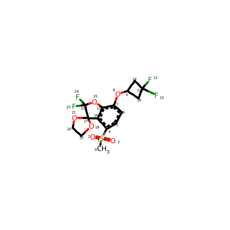 CS(=O)(=O)c1ccc(OC2CC(F)(F)C2)c2c1C1(OCCO1)C(F)(F)O2